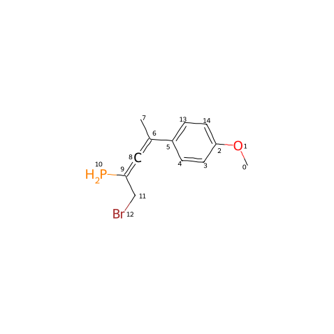 COc1ccc(C(C)=C=C(P)CBr)cc1